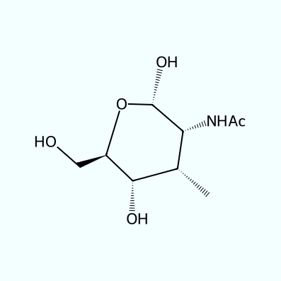 CC(=O)N[C@@H]1[C@H](C)[C@H](O)[C@@H](CO)O[C@@H]1O